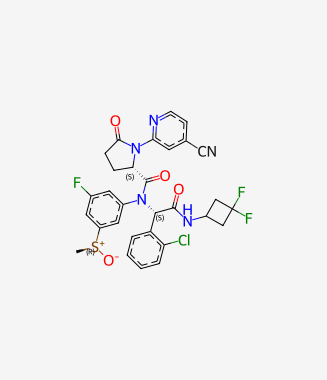 C[S@+]([O-])c1cc(F)cc(N(C(=O)[C@@H]2CCC(=O)N2c2cc(C#N)ccn2)[C@H](C(=O)NC2CC(F)(F)C2)c2ccccc2Cl)c1